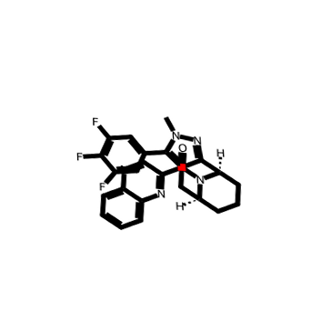 Cn1nc2c(c1-c1cc(F)c(F)c(F)c1)C[C@@H]1CCC[C@H]2N1C(=O)c1cnc2ccccc2n1